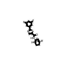 O=C(N[C@@H]1C[C@H]2CC[C@@H]1N2)c1cnc(-c2cc(F)cc(F)c2)s1